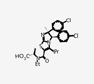 CCN(C(=O)C1=C(C(C)C)N2C(=N[C@@](C)(c3ccc(Cl)cc3)[C@H]2c2ccc(Cl)cc2)S1)[C@@H](C)C(=O)O